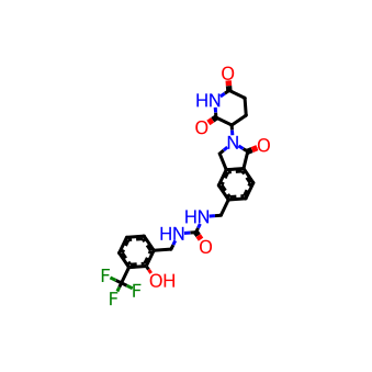 O=C1CCC(N2Cc3cc(CNC(=O)NCc4cccc(C(F)(F)F)c4O)ccc3C2=O)C(=O)N1